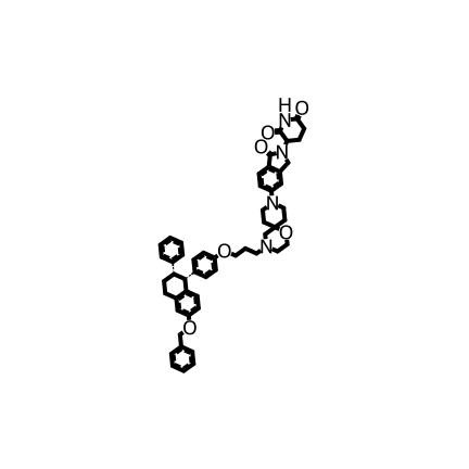 O=C1CCC(N2Cc3cc(N4CCC5(CC4)CN(CCCOc4ccc([C@@H]6c7ccc(OCc8ccccc8)cc7CC[C@@H]6c6ccccc6)cc4)CCO5)ccc3C2=O)C(=O)N1